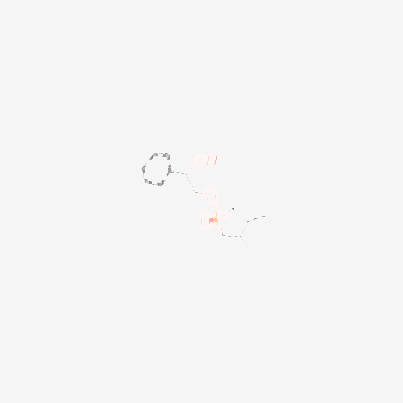 CC1CP(=O)(OCC(O)c2ccccc2)CC1C